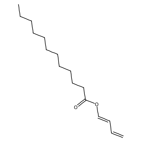 C=CC=COC(=O)CCCCCCCCCCC